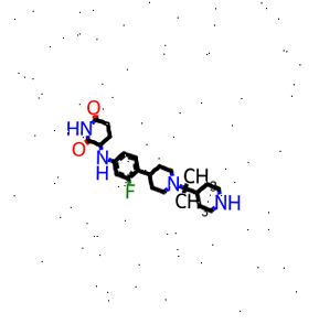 CC(C)(C1CCNCC1)N1CCC(c2ccc(NC3CCC(=O)NC3=O)cc2F)CC1